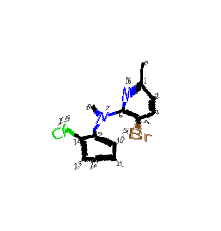 Cc1ccc(Br)c(N(C)c2ccccc2Cl)n1